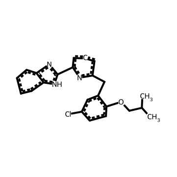 CC(C)COc1ccc(Cl)cc1Cc1cccc(-c2nc3ccccc3[nH]2)n1